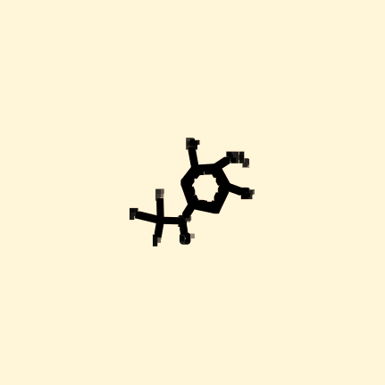 Nc1c(Br)cc([S+]([O-])C(F)(F)F)cc1Br